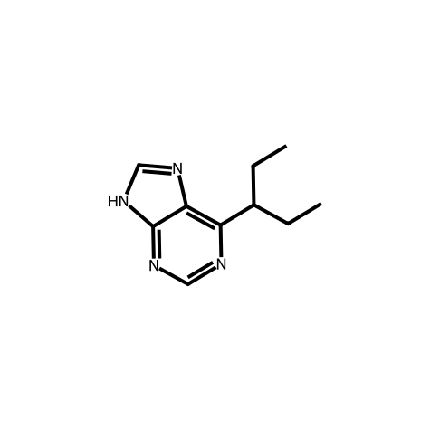 CCC(CC)c1ncnc2[nH]cnc12